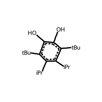 CC(C)c1c(C(C)C)c(C(C)(C)C)c(O)c(O)c1C(C)(C)C